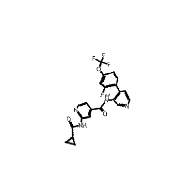 O=C(Nc1cnccc1-c1ccc(OC(F)(F)F)cc1F)c1ccnc(NC(=O)C2CC2)c1